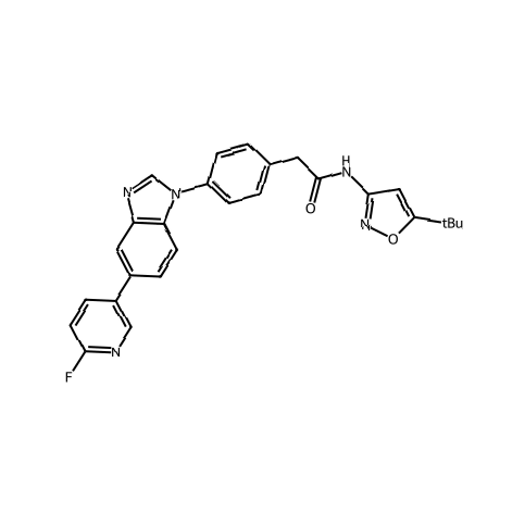 CC(C)(C)c1cc(NC(=O)Cc2ccc(-n3cnc4cc(-c5ccc(F)nc5)ccc43)cc2)no1